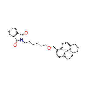 O=C1c2ccccc2C(=O)N1CCCCCCOCc1ccc2ccc3cccc4ccc1c2c34